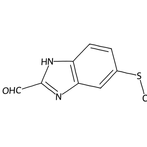 O=Cc1nc2cc(SC(F)(F)F)ccc2[nH]1